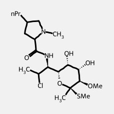 CCCC1CC(C(=O)N[C@H](C(C)Cl)[C@H]2O[C@](C)(SC)[C@H](OC)[C@@H](O)[C@H]2O)N(C)C1